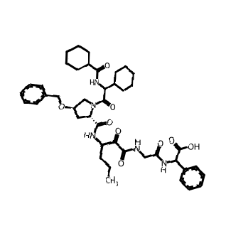 CCCC(NC(=O)[C@@H]1C[C@@H](OCc2ccccc2)CN1C(=O)C(NC(=O)C1CCCCC1)C1CCCCC1)C(=O)C(=O)NCC(=O)NC(C(=O)O)c1ccccc1